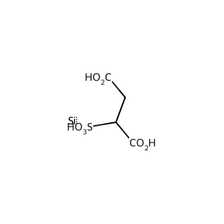 O=C(O)CC(C(=O)O)S(=O)(=O)O.[Si]